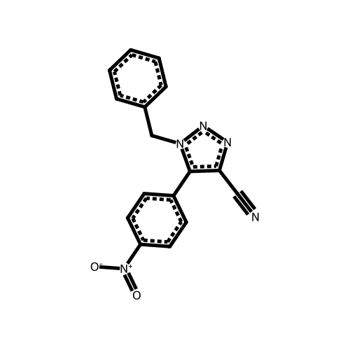 N#Cc1nnn(Cc2ccccc2)c1-c1ccc([N+](=O)[O-])cc1